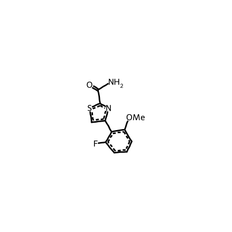 COc1cccc(F)c1-c1csc(C(N)=O)n1